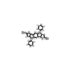 Brc1cc2c(s1)c1cc3c(cc1n2-c1ccccc1)c1sc(Br)cc1n3-c1ccccc1